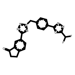 O=C1CCc2ccc(-c3nnn(Cc4ccc(-c5nnc(C(F)F)o5)cc4)n3)cc21